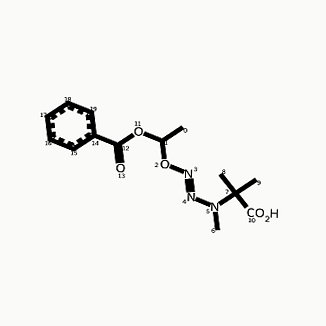 CC(ON=NN(C)C(C)(C)C(=O)O)OC(=O)c1ccccc1